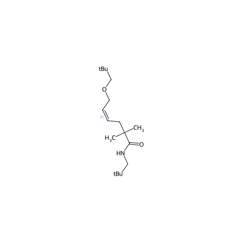 CC(C)(C)CNC(=O)C(C)(C)C/C=C\COCC(C)(C)C